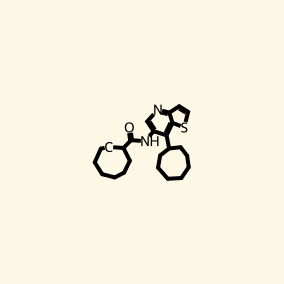 O=C(Nc1cnc2ccsc2c1C1CCCCCCC1)C1CCCCCCC1